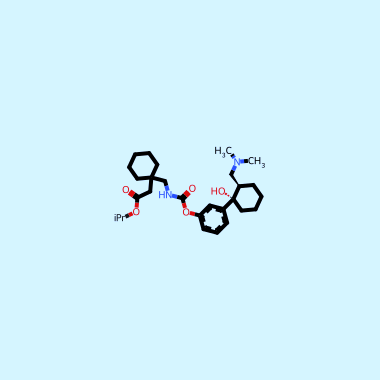 CC(C)OC(=O)CC1(CNC(=O)Oc2cccc([C@]3(O)CCCC[C@@H]3CN(C)C)c2)CCCCC1